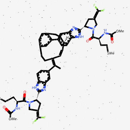 COC(=O)N[C@@H](CCSC)C(=O)N1CC(=C(F)F)C[C@H]1c1nc2cc(/C(C)=C3/C=C\[C@H](C)CCc4ccc(cc4-c4ccc5[nH]c([C@@H]6CC(=C(F)F)CN6C(=O)[C@H](CCSC)NC(=O)OC)nc5c4)CC3)ccc2[nH]1